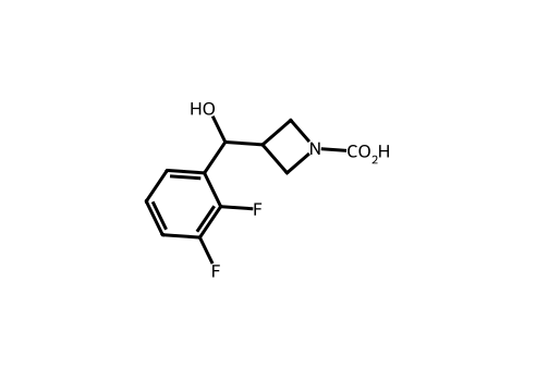 O=C(O)N1CC(C(O)c2cccc(F)c2F)C1